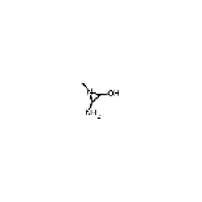 CN1C(N)C1O